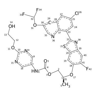 C[C@@H](COC(=O)Nc1cnc(OCCO)nc1)Oc1cc2sc(-c3cc(Cl)cc4cc(OC(F)F)cnc34)nc2cc1F